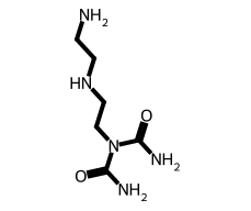 NCCNCCN(C(N)=O)C(N)=O